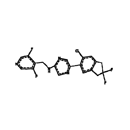 Fc1cncc(F)c1CNc1cnc(-c2cc3c(cc2Cl)CC(F)(F)C3)cn1